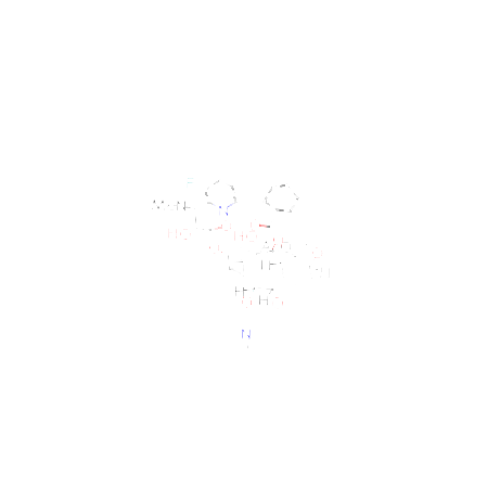 CN[C@@H](c1ncccc1F)[C@@H](O)C(=O)O[C@H]1C[C@@]2(O)[C@@H](OC(=O)c3ccccc3)[C@H]3[C@@](C)(CC[C@H]4OC[C@]43OC(C)=O)[C@@H]3O[C@H](CN(C)C)O[C@@H]3C(=C1C)C2(C)C